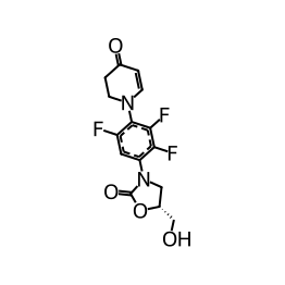 O=C1C=CN(c2c(F)cc(N3C[C@H](CO)OC3=O)c(F)c2F)CC1